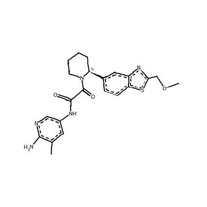 COCc1nc2cc([C@@H]3CCCCN3C(=O)C(=O)Nc3cnc(N)c(C)c3)ccc2s1